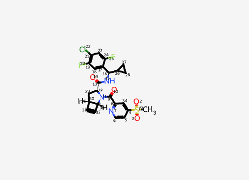 CS(=O)(=O)c1ccnc(C(=O)N2[C@@H](C(=O)N[C@@H](c3cc(F)c(Cl)cc3F)C3CC3)C[C@H]3C#C[C@H]32)c1